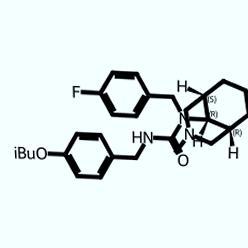 CC(C)COc1ccc(CNC(=O)N(Cc2ccc(F)cc2)[C@H]2[C@@H]3CCC[C@H]2CN(C)C3)cc1